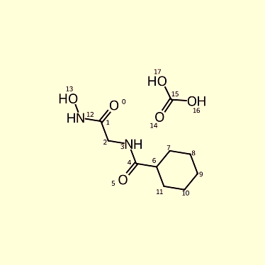 O=C(CNC(=O)C1CCCCC1)NO.O=C(O)O